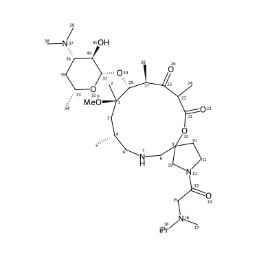 CO[C@]1(C)C[C@@H](C)CNCC2(CCN(C(=O)CN(C)C(C)C)C2)OC(=O)C(C)C(=O)[C@H](C)[C@H]1O[C@@H]1O[C@H](C)C[C@H](N(C)C)[C@H]1O